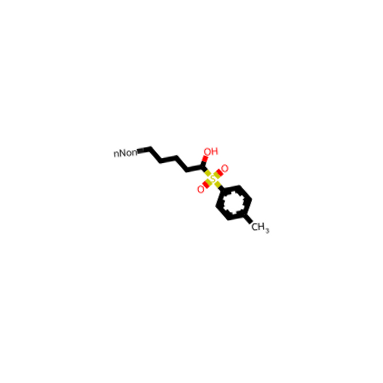 CCCCCCCCCCCCCC(O)S(=O)(=O)c1ccc(C)cc1